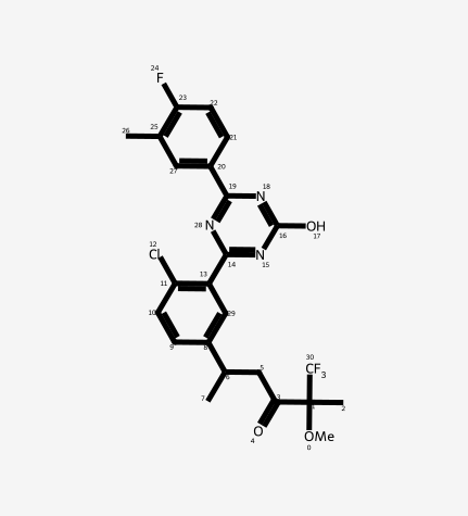 COC(C)(C(=O)CC(C)c1ccc(Cl)c(-c2nc(O)nc(-c3ccc(F)c(C)c3)n2)c1)C(F)(F)F